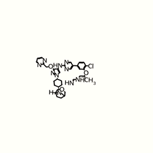 C[C@@H](CNC=N)Oc1cc(-c2cnc(Nc3cn([C@H]4CC[C@H](N5CC6CC[C@@H]5COC6)CC4)nc3OCc3ncccn3)nc2)ccc1Cl